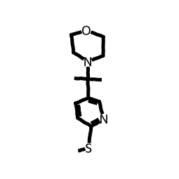 CSc1ccc(C(C)(C)N2CCOCC2)cn1